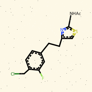 CC(=O)Nc1nc(CCc2ccc(CCl)c(F)c2)cs1